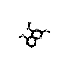 COc1nc(NN)c2c(OC)cccc2n1